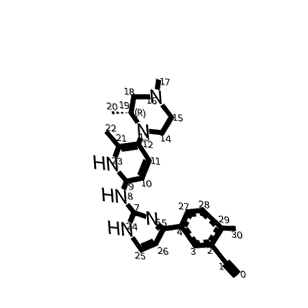 C#Cc1cc(C2=NC(NC3C=CC(N4CCN(C)C[C@H]4C)=C(C)N3)NC=C2)ccc1C